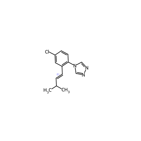 CC(C)/C=C/c1cc(Cl)ccc1-n1cnnc1